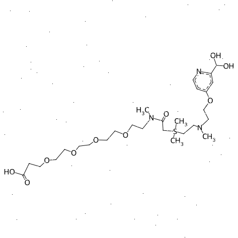 CN(CCOc1ccnc(C(O)O)c1)CCS(C)(C)CC(=O)N(C)CCOCCOCCOCCOCCC(=O)O